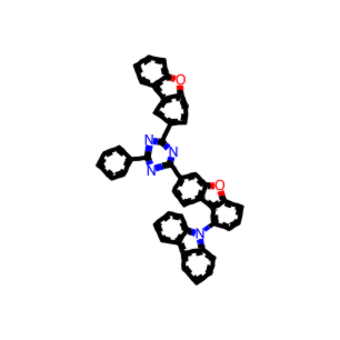 c1ccc(-c2nc(-c3ccc4c(c3)oc3cccc(-n5c6ccccc6c6ccccc65)c34)nc(-c3ccc4oc5ccccc5c4c3)n2)cc1